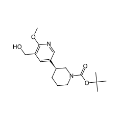 COc1ncc([C@@H]2CCCN(C(=O)OC(C)(C)C)C2)cc1CO